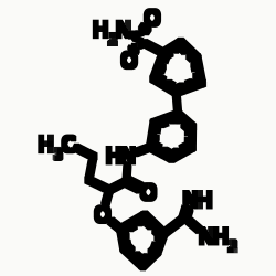 CCCC(Oc1cccc(C(=N)N)c1)C(=O)Nc1cccc(-c2cccc(S(N)(=O)=O)c2)c1